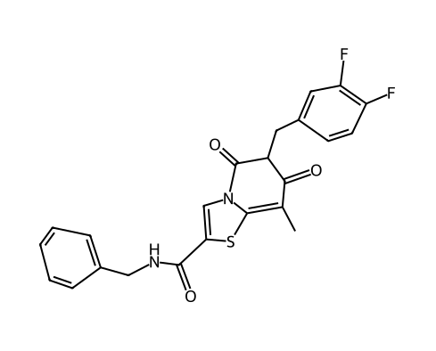 CC1=C2SC(C(=O)NCc3ccccc3)=CN2C(=O)C(Cc2ccc(F)c(F)c2)C1=O